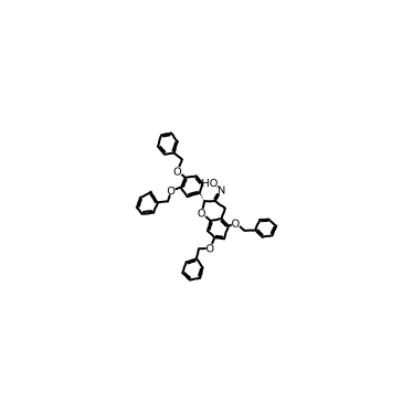 O/N=C1/Cc2c(OCc3ccccc3)cc(OCc3ccccc3)cc2O[C@@H]1c1ccc(OCc2ccccc2)c(OCc2ccccc2)c1